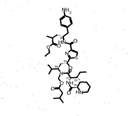 CCOC(=O)C(C)C[C@H](Cc1ccc(N)cc1)NC(=O)c1csc([C@@H](C[C@H](C(C)C)N(COC(=O)CC(C)C)C(=O)[C@@H](NC(=O)[C@H]2CCCCN2)[C@@H](C)CC)OC)n1